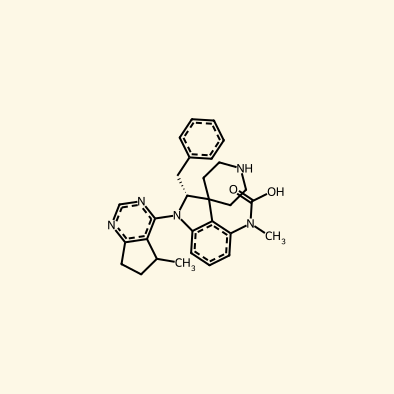 CC1CCc2ncnc(N3c4cccc(N(C)C(=O)O)c4C4(CCNCC4)[C@H]3Cc3ccccc3)c21